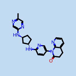 Cc1cnc(N[C@H]2CC[C@H](Nc3ccc(N4C(=O)CCc5cccnc54)cn3)C2)cn1